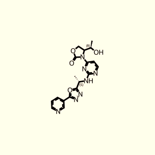 C[C@H](Nc1nccc(N2C(=O)OCC2[C@@H](C)O)n1)c1nnc(-c2cccnc2)o1